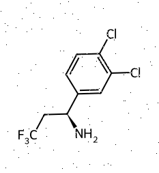 N[C@@H](CC(F)(F)F)c1ccc(Cl)c(Cl)c1